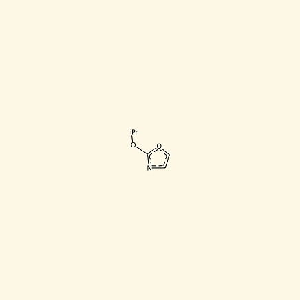 CC(C)Oc1ncco1